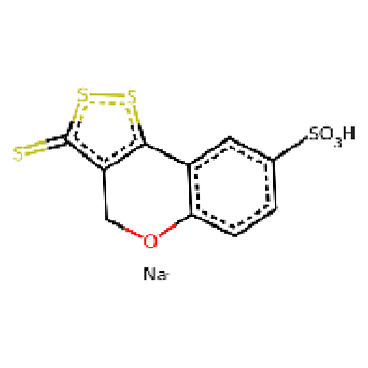 O=S(=O)(O)c1ccc2c(c1)-c1ssc(=S)c1CO2.[Na]